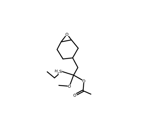 CC[SiH2]C(CC1CCC2OC2C1)(OC)OC(C)=O